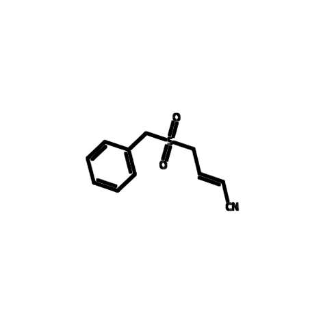 N#CC=CCS(=O)(=O)Cc1ccccc1